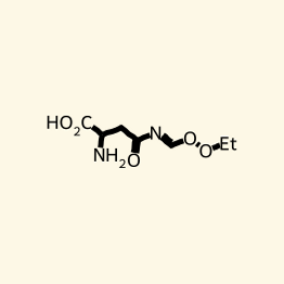 CCOO/C=N/C(=O)CC(N)C(=O)O